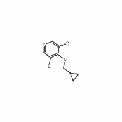 Clc1cncc(Cl)c1[N]CC1CC1